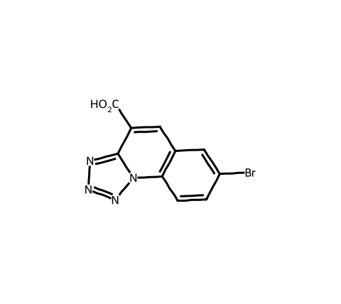 O=C(O)c1cc2cc(Br)ccc2n2nnnc12